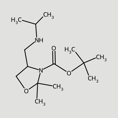 CC(C)NCC1COC(C)(C)N1C(=O)OC(C)(C)C